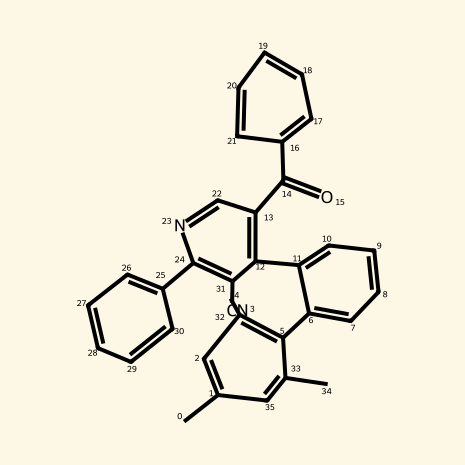 Cc1cc(C)c(-c2ccccc2-c2c(C(=O)c3ccccc3)cnc(-c3ccccc3)c2C#N)c(C)c1